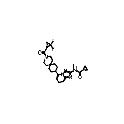 O=C(Nc1nc2n(n1)C(C1CCC3(CC1)CCN(C(=O)C1CC1(F)F)CC3)=CCC2)C1CC1